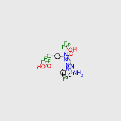 CC(N)c1nc(Cn2nc(-c3ccc(Cl)cc3)n(C[C@H](O)C(F)(F)F)c2=O)nn1-c1cccc(F)c1.O=C(O)C(F)(F)F